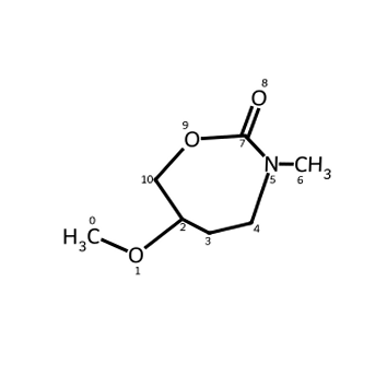 COC1CCN(C)C(=O)OC1